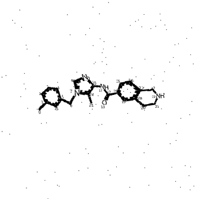 Cc1cccc(Cn2cnc(NC(=O)c3ccc4c(c3)CCNC4)c2C)c1